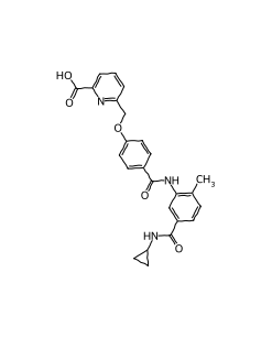 Cc1ccc(C(=O)NC2CC2)cc1NC(=O)c1ccc(OCc2cccc(C(=O)O)n2)cc1